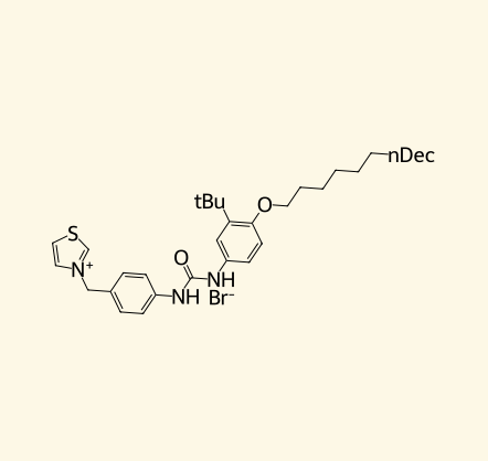 CCCCCCCCCCCCCCCCOc1ccc(NC(=O)Nc2ccc(C[n+]3ccsc3)cc2)cc1C(C)(C)C.[Br-]